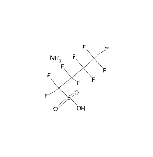 N.O=S(=O)(O)C(F)(F)C(F)(F)C(F)(F)C(F)(F)F